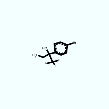 CCC(O)(c1ccc(Br)cc1)C(F)(F)F